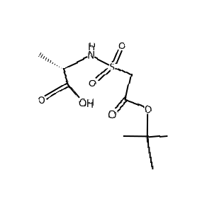 C[C@H](NS(=O)(=O)CC(=O)OC(C)(C)C)C(=O)O